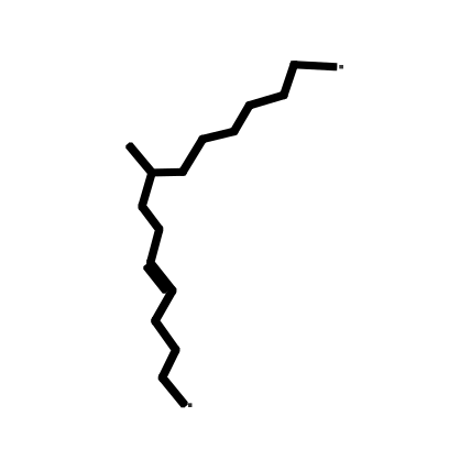 [CH2]CCCC=CCCC(C)CCCCCC[CH2]